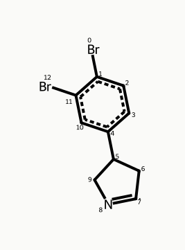 Brc1ccc(C2C[C]=NC2)cc1Br